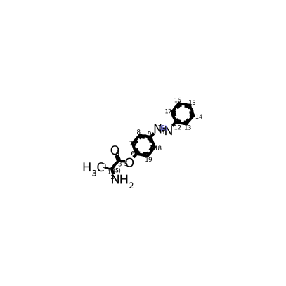 C[C@H](N)C(=O)Oc1ccc(/N=N/c2ccccc2)cc1